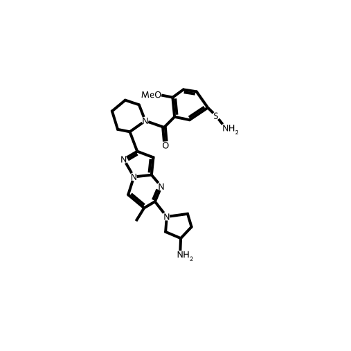 COc1ccc(SN)cc1C(=O)N1CCCCC1c1cc2nc(N3CCC(N)C3)c(C)cn2n1